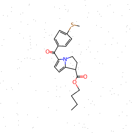 CCCCOC(=O)C1CCn2c(C(=O)c3ccc(SC)cc3)ccc21